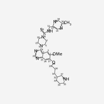 COc1cc2c(N3CCN(C(=S)NCc4cnc(C)cn4)CC3)ncnc2cc1OCCCC1CCCNC1